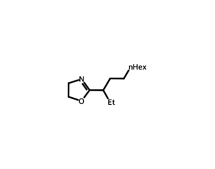 CCCCCCCCC(CC)C1=NCCO1